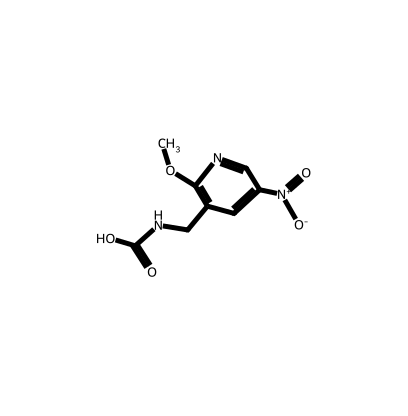 COc1ncc([N+](=O)[O-])cc1CNC(=O)O